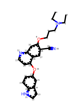 CCN(CC)CCCOc1cc2nccc(Oc3ccc4[nH]ccc4c3)c2cc1C#N